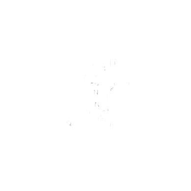 C[C@@H]1[C@@](C)(C=O)SC(N(COCC[Si](C)(C)C)C(=O)OC(C)(C)C)=N[C@]1(C)c1cc(Br)ccc1F